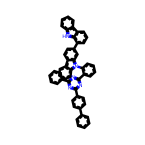 c1ccc(-c2ccc(-c3nc(-c4ccccc4)nc(-c4ccccc4-n4c5ccccc5c5ccc(-c6cccc7c6[nH]c6ccccc67)cc54)n3)cc2)cc1